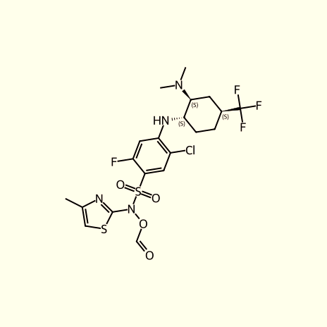 Cc1csc(N(OC=O)S(=O)(=O)c2cc(Cl)c(N[C@H]3CC[C@H](C(F)(F)F)C[C@@H]3N(C)C)cc2F)n1